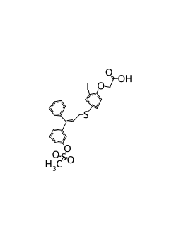 CS(=O)(=O)Oc1cccc(C(=CCSc2ccc(OCC(=O)O)c(I)c2)c2ccccc2)c1